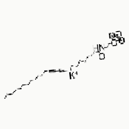 CCCCCCCCCCCCC#CC#CCCCCCCCCC(=O)NCCOS(=O)(=O)[O-].[K+]